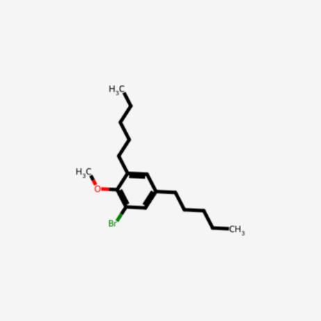 CCCCCc1cc(Br)c(OC)c(CCCCC)c1